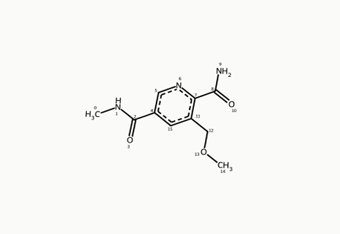 CNC(=O)c1cnc(C(N)=O)c(COC)c1